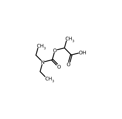 CCN(CC)C(=O)OC(C)C(=O)O